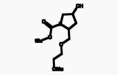 COCCOCC1CC(O)CN1C(=O)OC(C)(C)C